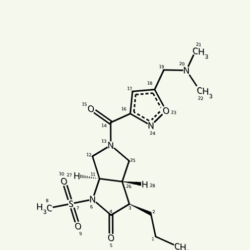 CCC[C@H]1C(=O)N(S(C)(=O)=O)[C@H]2CN(C(=O)c3cc(CN(C)C)on3)C[C@H]12